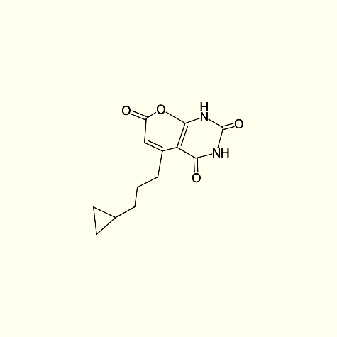 O=c1[nH]c(=O)c2c(CCCC3CC3)cc(=O)oc2[nH]1